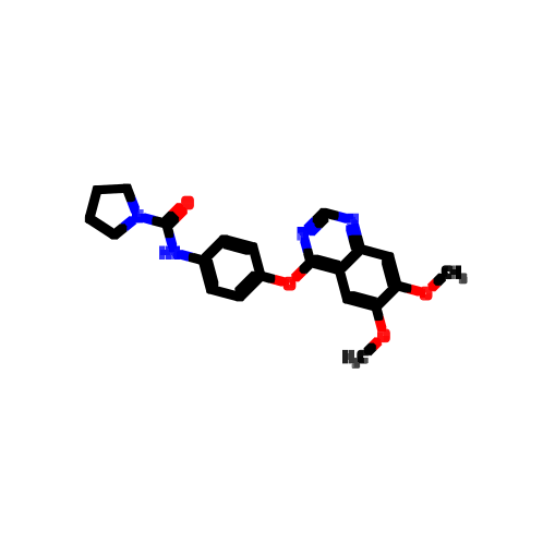 COc1cc2ncnc(Oc3ccc(NC(=O)N4CCCC4)cc3)c2cc1OC